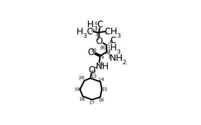 C[C@@H](OC(C)(C)C)[C@H](N)C(=O)NOC1CCCCCCC1